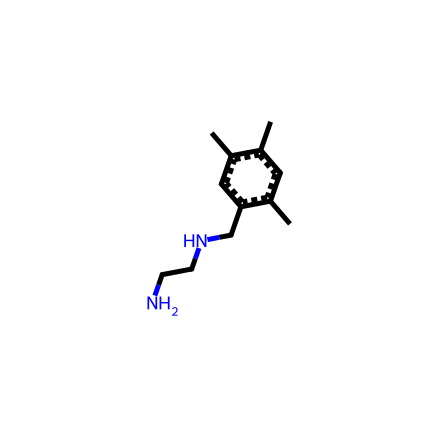 Cc1cc(C)c(CNCCN)cc1C